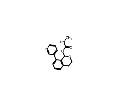 CNC(=O)OC1OCCc2cccc(-c3cccnc3)c21